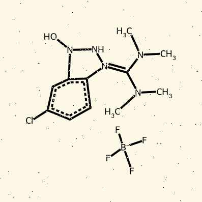 CN(C)C(N(C)C)=[N+]1NN(O)c2cc(Cl)ccc21.F[B-](F)(F)F